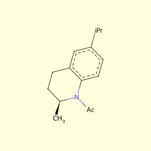 CC(=O)N1c2ccc(C(C)C)cc2CC[C@@H]1C